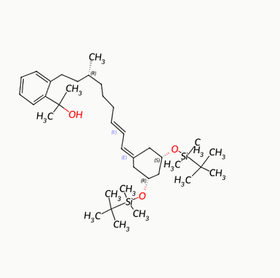 C[C@H](CCC/C=C/C=C1/C[C@@H](O[Si](C)(C)C(C)(C)C)C[C@@H](O[Si](C)(C)C(C)(C)C)C1)CCc1ccccc1C(C)(C)O